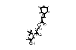 CC(C)(C)N(CC(=O)O)C(=O)OCOC(=O)CCC1CCCCC1